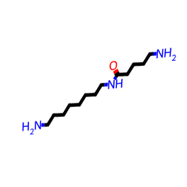 NCCCCCCCCNC(=O)CCCCN